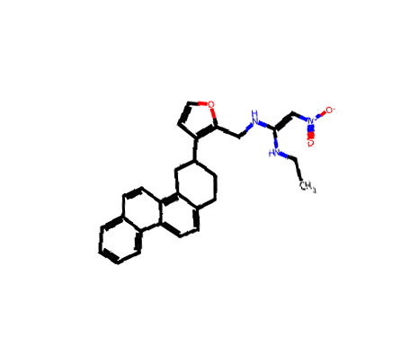 CCNC(=C[N+](=O)[O-])NCc1occc1C1CCc2ccc3c(ccc4ccccc43)c2C1